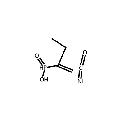 C=C(CC)[PH](=O)O.N=C=O